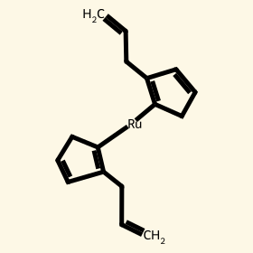 C=CCC1=[C]([Ru][C]2=C(CC=C)C=CC2)CC=C1